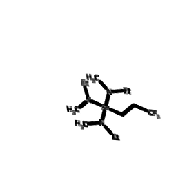 CC[N](C)[Sn]([CH2]CC(F)(F)F)([N](C)CC)[N](C)CC